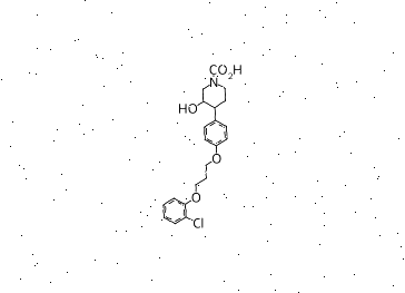 O=C(O)N1CCC(c2ccc(OCCCOc3ccccc3Cl)cc2)C(O)C1